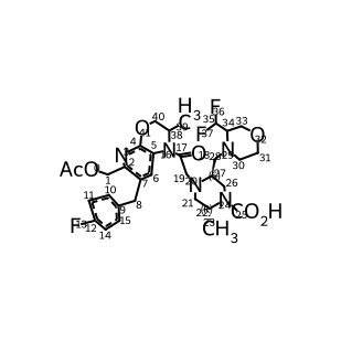 CC(=O)OCc1nc2c(cc1Cc1ccc(F)cc1)N(C(=O)CN1C[C@@H](C)N(C(=O)O)C[C@@H]1CN1CCOCC1C(F)F)C(C)CO2